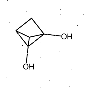 OC1C2CC1(O)C2